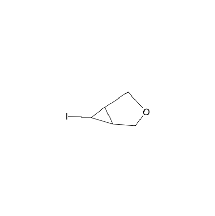 IC1C2COCC12